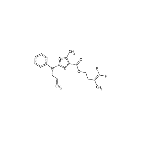 C=CCN(c1ccccc1)c1nc(C)c(C(=O)OCCC(C)=C(F)F)s1